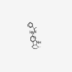 CC(=NNc1ccc2c(n1)NC1C2=CC=CC1C)c1cccnc1